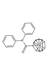 O=C(P(c1ccccc1)c1ccccc1)[C]12[CH]3[CH]4[CH]5[CH]1[Fe]45321678[CH]2[CH]1[CH]6[CH]7[CH]28